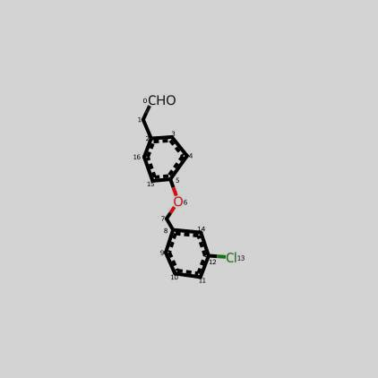 O=CCc1ccc(OCc2cccc(Cl)c2)cc1